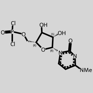 CNc1ccn([C@@H]2O[C@H](COP(=O)(Cl)Cl)C(O)[C@@H]2O)c(=O)n1